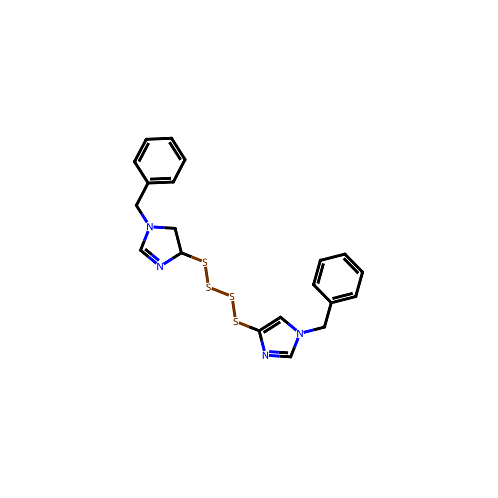 C1=NC(SSSSc2cn(Cc3ccccc3)cn2)CN1Cc1ccccc1